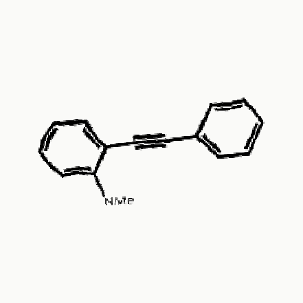 CNc1ccccc1C#Cc1ccccc1